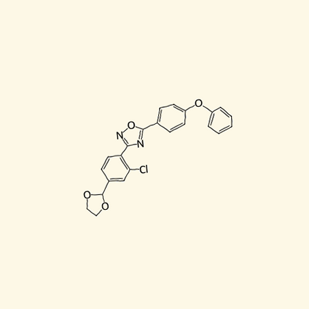 Clc1cc(C2OCCO2)ccc1-c1noc(-c2ccc(Oc3ccccc3)cc2)n1